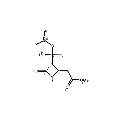 COC(=O)C[C@H]1NC(=O)[C@@H]1[C@@](C)(O[SiH](C)C)C(C)(C)C